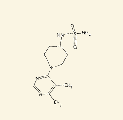 Cc1ncnc(N2CCC(NS(N)(=O)=O)CC2)c1C